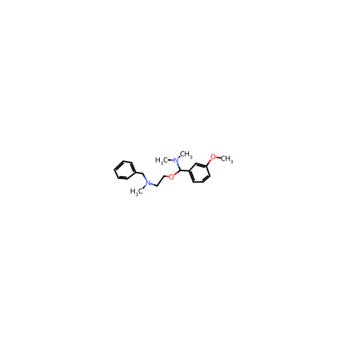 COc1cccc(C(OCCN(C)Cc2ccccc2)N(C)C)c1